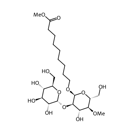 COC(=O)CCCCCCCCO[C@H]1O[C@H](CO)[C@@H](OC)[C@H](O)[C@H]1O[C@H]1O[C@H](CO)[C@@H](O)[C@H](O)[C@H]1O